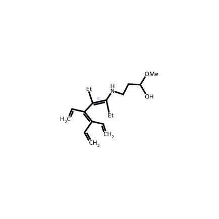 C=CC(C=C)=C(C=C)/C(CC)=C(\CC)NCCC(O)OC